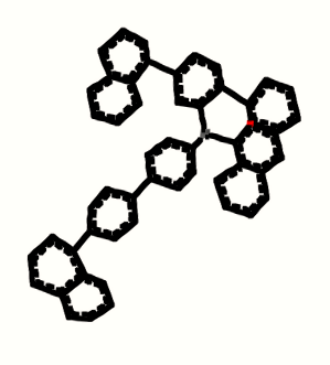 c1ccc(-c2ccc(-c3cccc4ccccc34)cc2N(c2ccc(-c3ccc(-c4cccc5ccccc45)cc3)cc2)c2cccc3ccccc23)cc1